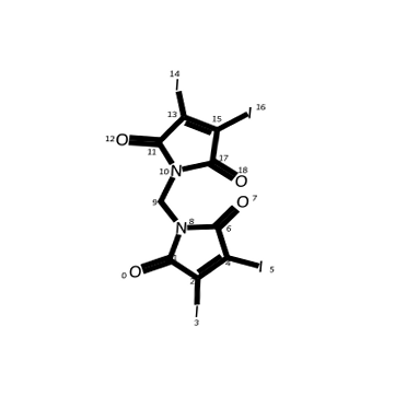 O=C1C(I)=C(I)C(=O)N1CN1C(=O)C(I)=C(I)C1=O